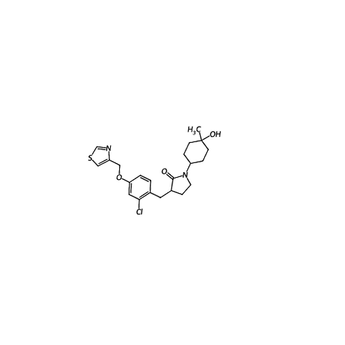 CC1(O)CCC(N2CCC(Cc3ccc(OCc4cscn4)cc3Cl)C2=O)CC1